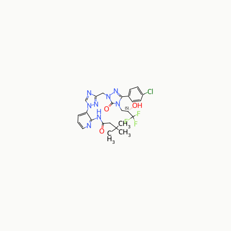 CC(C)(C)CC(=O)Nc1ncccc1-n1cnc(Cn2nc(-c3ccc(Cl)cc3)n(C[C@H](O)C(F)(F)F)c2=O)n1